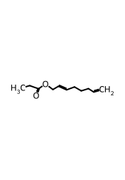 C=CCCCC=CCOC(=O)CC